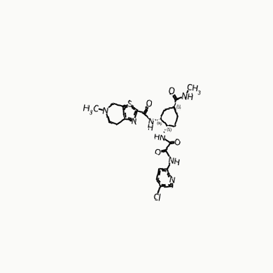 CNC(=O)[C@H]1CC[C@H](NC(=O)C(=O)Nc2ccc(Cl)cn2)[C@H](NC(=O)c2nc3c(s2)CN(C)CC3)C1